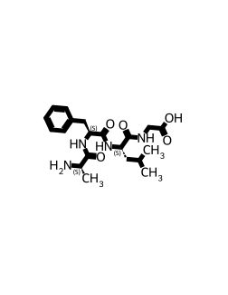 CC(C)C[C@H](NC(=O)[C@H](Cc1ccccc1)NC(=O)[C@H](C)N)C(=O)NCC(=O)O